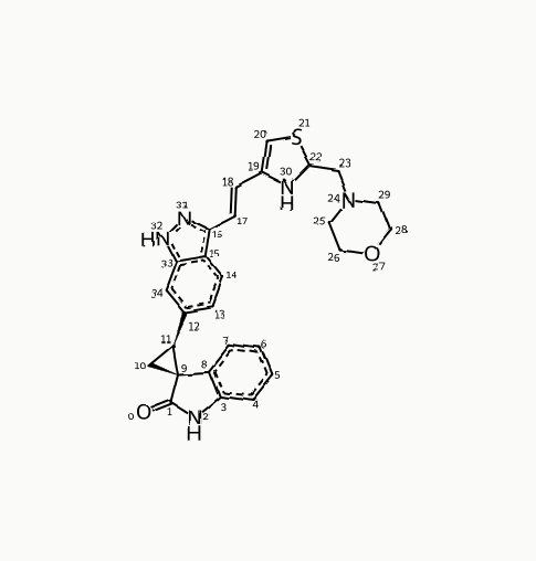 O=C1Nc2ccccc2[C@]12C[C@H]2c1ccc2c(/C=C/C3=CSC(CN4CCOCC4)N3)n[nH]c2c1